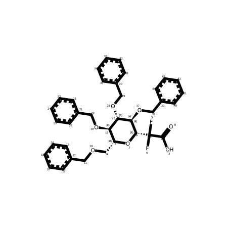 O=C(O)C(F)(F)[C@@H]1O[C@H](COCc2ccccc2)[C@@H](OCc2ccccc2)[C@H](OCc2ccccc2)[C@H]1OCc1ccccc1